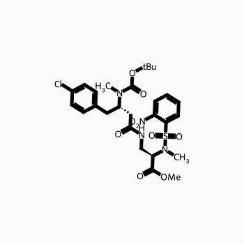 COC(=O)[C@@H](CNC(=O)C[C@H](Cc1ccc(Cl)cc1)N(C)C(=O)OC(C)(C)C)N(C)S(=O)(=O)c1ccccc1[N+](=O)[O-]